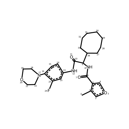 Cc1cocc1C(=O)NC(C(=O)Nc1ccc(N2CCOCC2)c(F)c1)C1CCCCCCC1